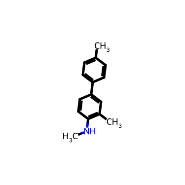 CNc1ccc(-c2ccc(C)cc2)cc1C